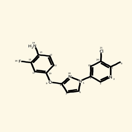 Cc1ncc(-n2ccc(Oc3ccc(N)c(F)c3)n2)cc1Cl